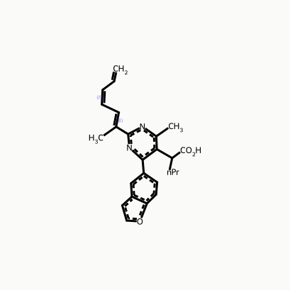 C=C/C=C\C=C(/C)c1nc(C)c(C(CCC)C(=O)O)c(-c2ccc3occc3c2)n1